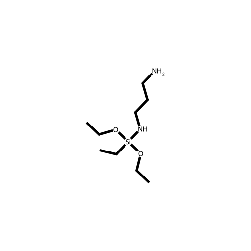 CCO[Si](CC)(NCCCN)OCC